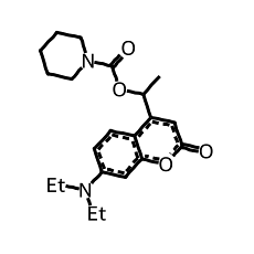 CCN(CC)c1ccc2c(C(C)OC(=O)N3CCCCC3)cc(=O)oc2c1